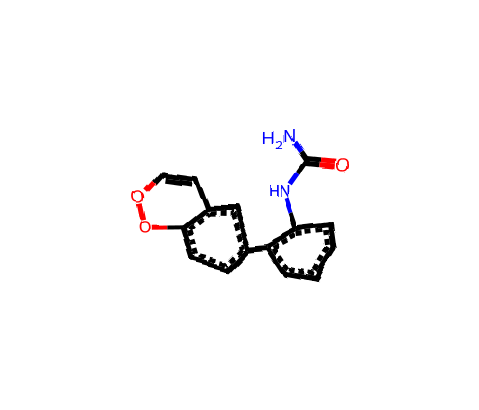 NC(=O)Nc1ccccc1-c1ccc2c(c1)C=COO2